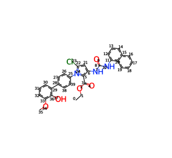 CCOC(=O)c1c(NC(=O)Nc2cccc3ccccc23)cc(Cl)n1-c1ccc(-c2cccc(OC)c2O)cc1